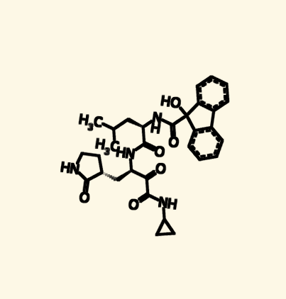 CC(C)C[C@@H](NC(=O)C1(O)c2ccccc2-c2ccccc21)C(=O)N[C@H](C[C@H]1CCNC1=O)C(=O)C(=O)NC1CC1